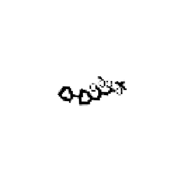 COC(=O)/C(=C\c1ccc(-c2ccccc2)cc1)CC(=O)OC(C)(C)C